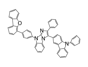 c1ccc(-c2nc3n(-c4ccc(-c5cccc6c5oc5ccccc56)cc4)c4ccccc4n3c2-c2ccc3c(c2)c2ccccc2n3-c2ccccc2)cc1